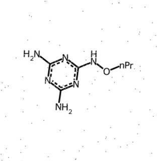 CCCONc1nc(N)nc(N)n1